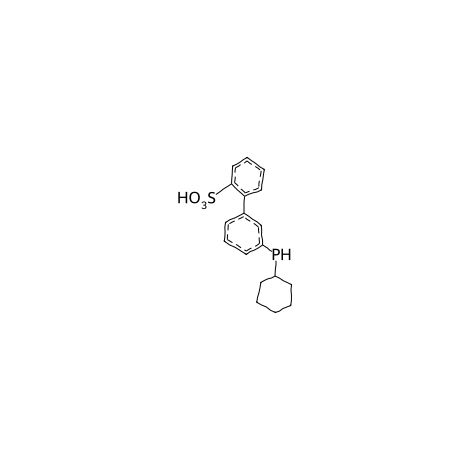 O=S(=O)(O)c1ccccc1-c1cccc(PC2CCCCC2)c1